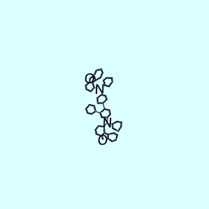 c1ccc(-c2cc(N(c3ccccc3)c3cccc4oc5ccccc5c34)ccc2-c2ccc(N(c3ccccc3)c3cccc4oc5ccccc5c34)cc2)cc1